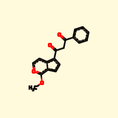 COc1occc2c(C(=O)CC(=O)c3ccccc3)ccc1-2